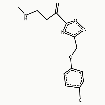 C=C(CCNC)c1nc(COc2ccc(Cl)cc2)no1